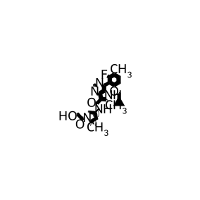 Cc1ccc(OCC2CC2)c(-c2ncnc3c(C(=O)N[C@H]4C[C@@H](C)N(C(=O)CO)C4)c(C)[nH]c23)c1F